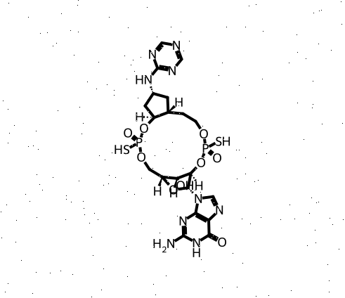 Nc1nc2c(ncn2[C@@H]2O[C@@H]3COP(=O)(S)O[C@H]4C[C@H](Nc5ncncn5)C[C@@H]4CCOP(=O)(S)O[C@@H]2[C@@H]3O)c(=O)[nH]1